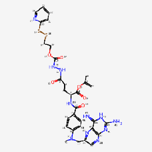 C=C(C)OC(=O)[C@H](CCC(=O)NNC(=O)OCCSSc1ccccn1)NC(=O)c1ccc(N(C)Cc2cnc3nc(N)[nH]c(=N)c3n2)cc1